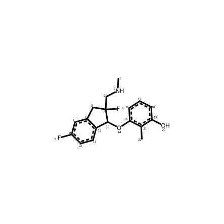 CNCC1(F)Cc2cc(F)ccc2C1Oc1cccc(O)c1C